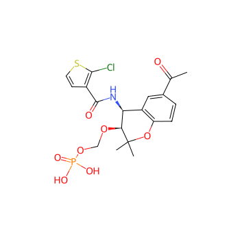 CC(=O)c1ccc2c(c1)[C@H](NC(=O)c1ccsc1Cl)[C@H](OCOP(=O)(O)O)C(C)(C)O2